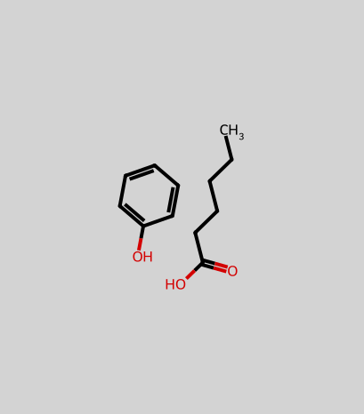 CCCCCC(=O)O.Oc1ccccc1